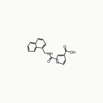 O=C(O)c1ccnc(C(=O)NCc2cccc3ccccc23)c1